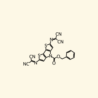 N#CC(C#N)=Nc1cc2c(s1)c1sc(N=C(C#N)C#N)cc1n2C(=O)OCc1ccccc1